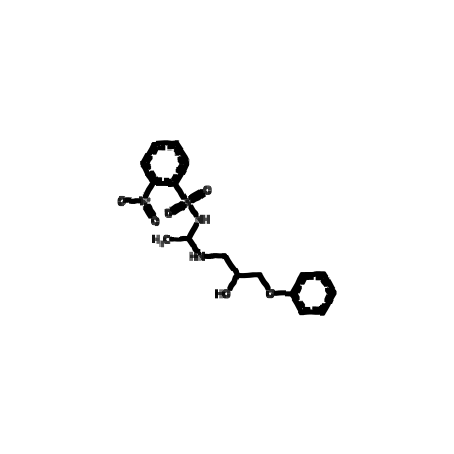 CC(NCC(O)COc1ccccc1)NS(=O)(=O)c1ccccc1[N+](=O)[O-]